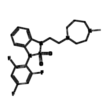 CN1CCCN(CCN2c3ccccc3N(c3c(F)cc(F)cc3F)S2(=O)=O)CC1